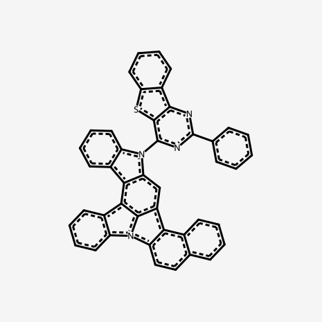 c1ccc(-c2nc(-n3c4ccccc4c4c5c6ccccc6n6c7ccc8ccccc8c7c(cc43)c56)c3sc4ccccc4c3n2)cc1